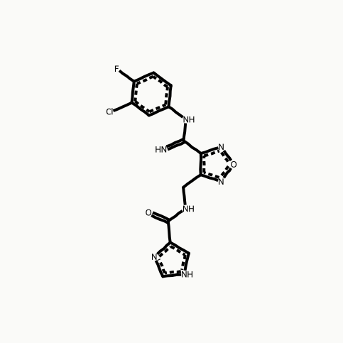 N=C(Nc1ccc(F)c(Cl)c1)c1nonc1CNC(=O)c1c[nH]cn1